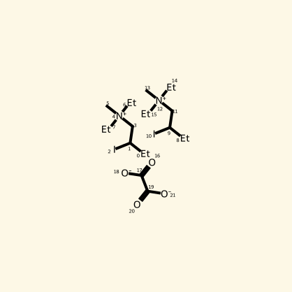 CCC(I)C[N+](C)(CC)CC.CCC(I)C[N+](C)(CC)CC.O=C([O-])C(=O)[O-]